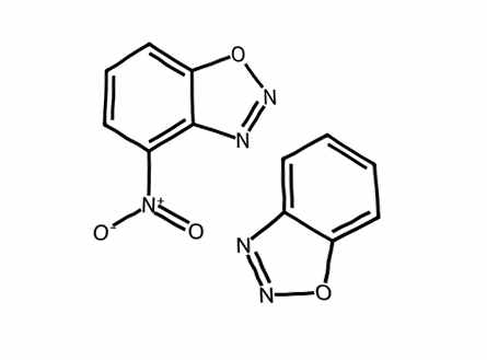 O=[N+]([O-])c1cccc2onnc12.c1ccc2onnc2c1